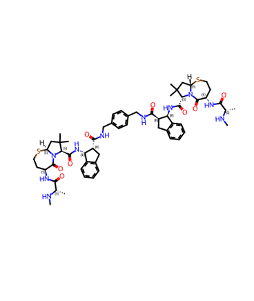 CN[C@@H](C)C(=O)N[C@H]1CCS[C@H]2CC(C)(C)[C@@H](C(=O)N[C@H]3c4ccccc4C[C@H]3C(=O)NCc3ccc(CNC(=O)[C@@H]4Cc5ccccc5[C@@H]4NC(=O)[C@H]4N5C(=O)[C@@H](NC(=O)[C@H](C)NC)CCS[C@H]5CC4(C)C)cc3)N2C1=O